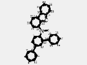 CN(c1ccc(-c2ccccc2)cc1-c1ccccc1)c1cccc2c1oc1ccccc12